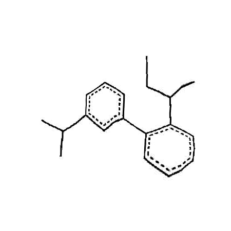 CCC(C)c1ccccc1-c1cccc(C(C)C)c1